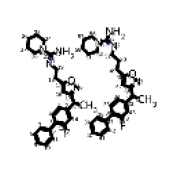 CC(c1ccc(-c2ccccc2)c(F)c1)c1cc(CC/N=C(\N)N2CCCCC2)on1.CC(c1ccc(-c2ccccc2)c(F)c1)c1cc(CCC/N=C(/N)N2CCCCC2)on1